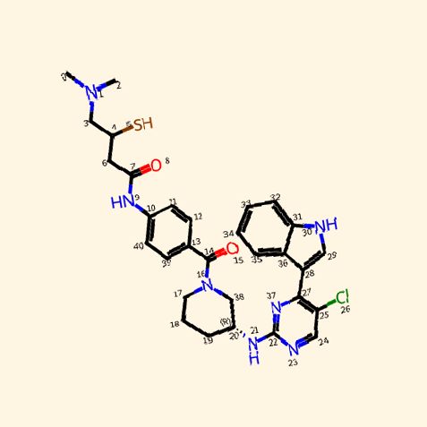 CN(C)CC(S)CC(=O)Nc1ccc(C(=O)N2CCC[C@@H](Nc3ncc(Cl)c(-c4c[nH]c5ccccc45)n3)C2)cc1